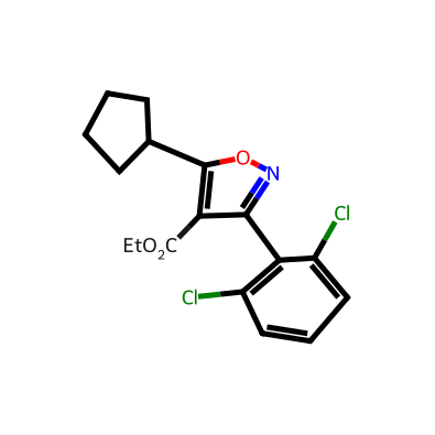 CCOC(=O)c1c(-c2c(Cl)cccc2Cl)noc1C1CCCC1